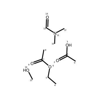 CC(=O)O.CCOC(C)=O.CN(C)C=O.CO